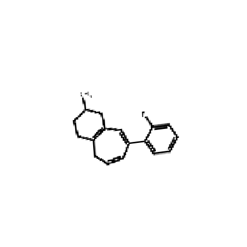 CC1CCC2=C(C=C(c3ccccc3F)C=CC2)C1